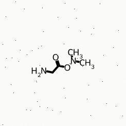 CN(C)OC(=O)CN